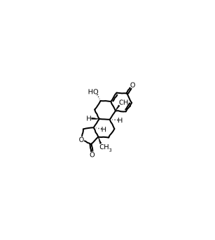 C[C@]12C=CC(=O)C=C1[C@@H](O)C[C@@H]1[C@@H]2CC[C@]2(C)C(=O)OC[C@@H]12